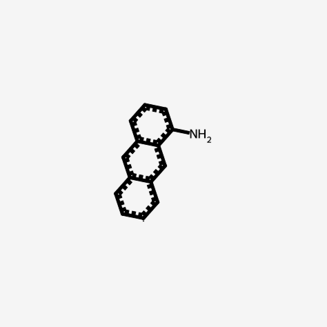 Nc1cccc2cc3cc[c]cc3cc12